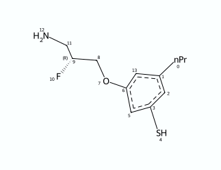 CCCc1cc(S)cc(OC[C@H](F)CN)c1